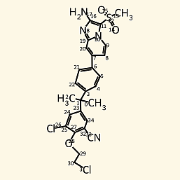 CC(C)(c1ccc(-c2ccn3c(S(C)(=O)=O)c(N)nc3c2)cc1)c1cc(Cl)c(OCCCl)c(C#N)c1